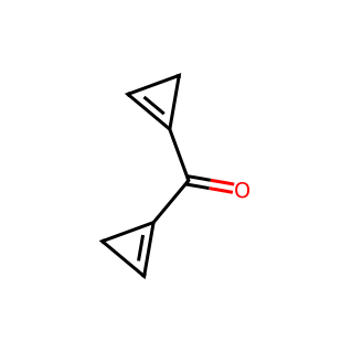 O=C(C1=CC1)C1=CC1